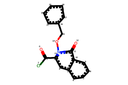 O=C(Cl)c1cc2ccccc2c(=O)n1OCc1ccccc1